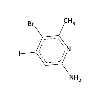 Cc1nc(N)cc(I)c1Br